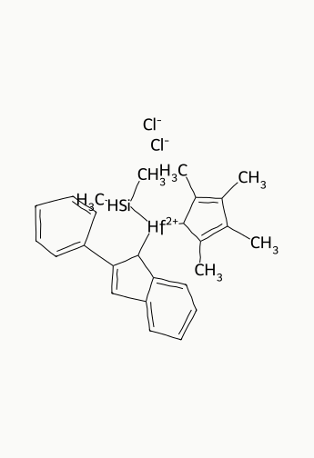 CC1=C(C)[CH]([Hf+2]([CH]2C(c3ccccc3)=Cc3ccccc32)[SiH](C)C)C(C)=C1C.[Cl-].[Cl-]